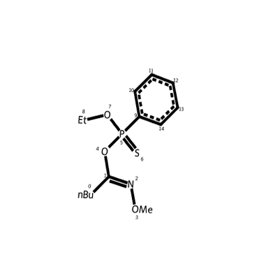 CCCCC(=NOC)OP(=S)(OCC)c1ccccc1